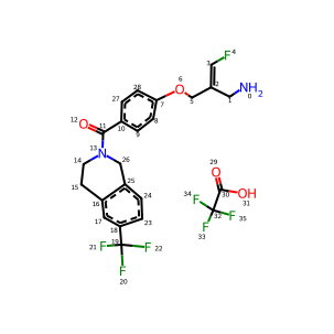 NCC(=CF)COc1ccc(C(=O)N2CCc3cc(C(F)(F)F)ccc3C2)cc1.O=C(O)C(F)(F)F